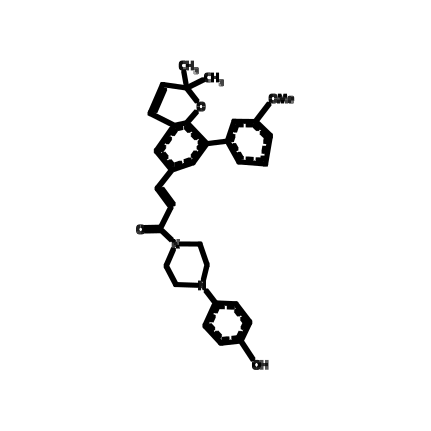 COc1cccc(-c2cc(/C=C/C(=O)N3CCN(c4ccc(O)cc4)CC3)cc3c2OC(C)(C)C=C3)c1